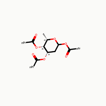 CCCC(=O)OC1C[C@H](OC(=O)CCC)[C@H](OC(=O)CCC)[C@H](C)O1